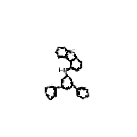 c1ccc(-c2cc(Nc3cccc4sc5ccccc5c34)cc(-c3ccccc3)c2)cc1